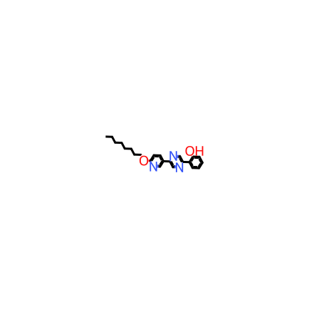 CCCCCCCCOc1ccc(-c2cnc(-c3ccccc3O)cn2)cn1